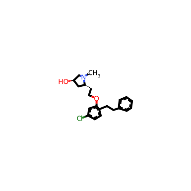 CN1C[C@H](O)C[C@H]1CCOc1cc(Cl)ccc1CCc1ccccc1